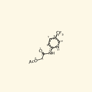 CC(=O)OCC(=O)Nc1ccc(C(F)(F)F)cn1